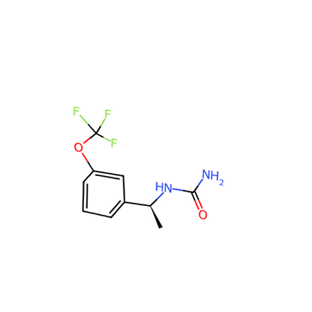 C[C@H](NC(N)=O)c1cccc(OC(F)(F)F)c1